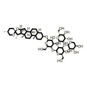 C[C@@H]1CC[C@@]2(OC1)O[C@H]1C[C@H]3[C@@H]4CC[C@H]5C[C@@H](O[C@@H]6O[C@H](CO)[C@H](O[C@@H]7O[C@H](CO)[C@@H](O)[C@H](O[C@@H]8OC[C@@H](O)[C@H](O)[C@H]8O)[C@H]7O[C@@H]7O[C@H](CO)[C@@H](O)[C@H](O)[C@H]7O)[C@H](O)[C@H]6O)CC[C@]5(C)[C@H]4CC[C@]3(C)[C@H]1[C@@H]2C